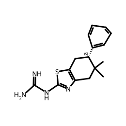 CC1(C)Cc2nc(NC(=N)N)sc2C[C@@H]1c1ccccc1